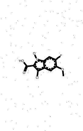 COc1cc2c(Cl)c(C(=O)O)[s+]([O-])c2cc1F